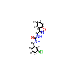 Cc1ccc2onc(CNC(=O)NCc3cccc(Cl)c3)c2c1